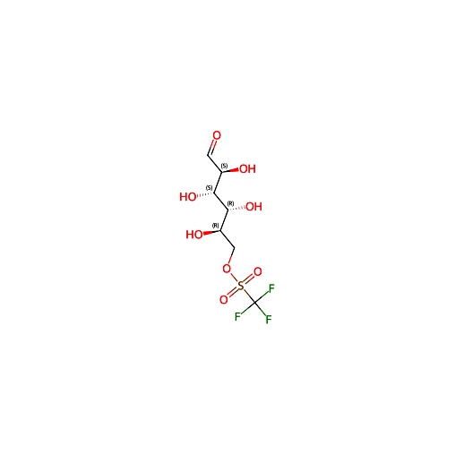 O=C[C@@H](O)[C@@H](O)[C@H](O)[C@H](O)COS(=O)(=O)C(F)(F)F